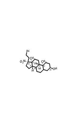 CC(=O)CC[C@]1([N+](=O)[O-])CC[C@H]2[C@@H]3CCC4C[C@H](O)CC[C@]4(C)[C@H]3CC[C@@]21C